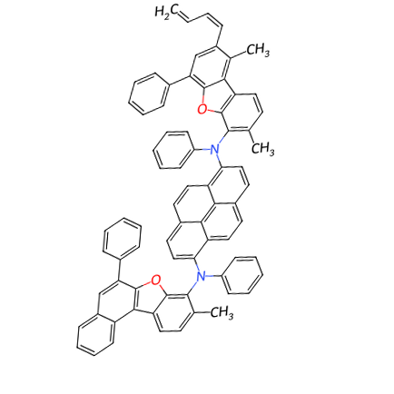 C=C/C=C\c1cc(-c2ccccc2)c2oc3c(N(c4ccccc4)c4ccc5ccc6c(N(c7ccccc7)c7c(C)ccc8c7oc7c(-c9ccccc9)cc9ccccc9c78)ccc7ccc4c5c76)c(C)ccc3c2c1C